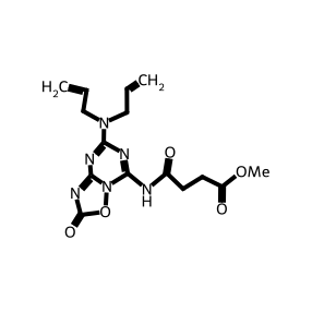 C=CCN(CC=C)c1nc(NC(=O)CCC(=O)OC)n2oc(=O)nc2n1